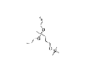 C=CCOC(C)(CCCO[Si](C)(C)C)OCC=C